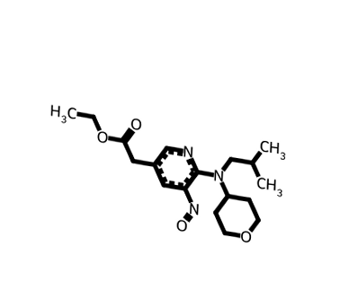 CCOC(=O)Cc1cnc(N(CC(C)C)C2CCOCC2)c(N=O)c1